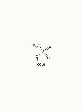 O=C(O)OS(=O)(=O)C(=O)O